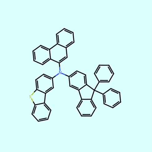 c1ccc(C2(c3ccccc3)c3ccccc3-c3cc(N(c4ccc5sc6ccccc6c5c4)c4cc5ccccc5c5ccccc45)ccc32)cc1